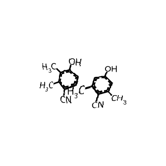 Cc1c(O)ccc(C#N)c1C.Cc1cc(O)cc(C)c1C#N